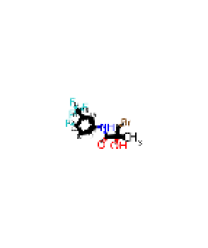 CC(O)(CBr)C(=O)Nc1ccc(F)c(C(F)(F)F)c1